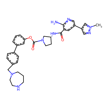 Cn1cc(-c2cnc(N)c(C(=O)N[C@@H]3CCN(C(=O)Oc4cccc(-c5ccc(CN6CCCNCC6)cc5)c4)C3)c2)cn1